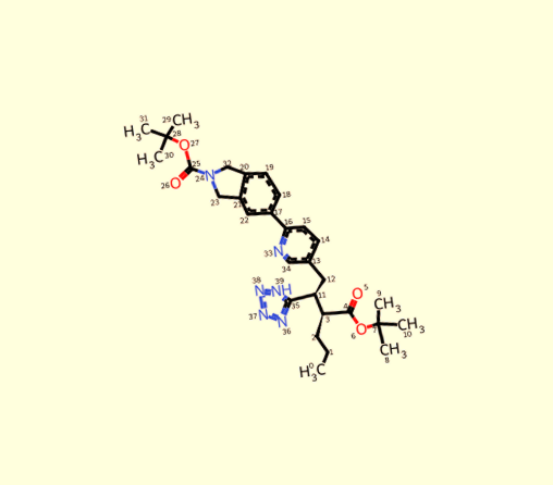 CCC[C@H](C(=O)OC(C)(C)C)[C@H](Cc1ccc(-c2ccc3c(c2)CN(C(=O)OC(C)(C)C)C3)nc1)c1nnn[nH]1